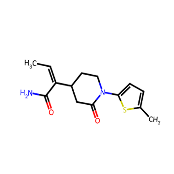 CC=C(C(N)=O)C1CCN(c2ccc(C)s2)C(=O)C1